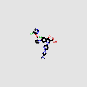 CN(C)C1CN(c2ccc(-n3cc(C(=O)O)c(=O)c4cc(Cl)c(N5CCC[C@@H]5COc5ncncc5Cl)cc43)cn2)C1